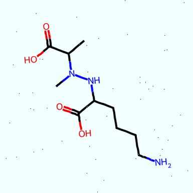 CC(C(=O)O)N(C)NC(CCCCN)C(=O)O